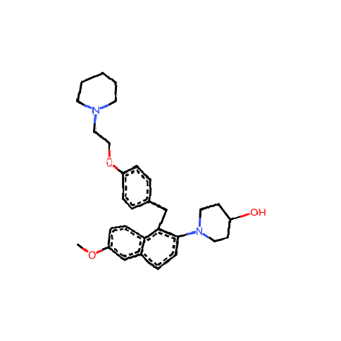 COc1ccc2c(Cc3ccc(OCCN4CCCCC4)cc3)c(N3CCC(O)CC3)ccc2c1